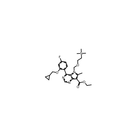 CCOC(=O)c1c(C)n(COCC[Si](C)(C)C)c2c(-c3ccc(F)cc3OCC3CC3)ncnc12